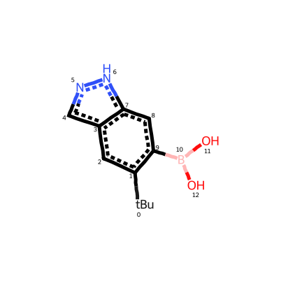 CC(C)(C)c1cc2cn[nH]c2cc1B(O)O